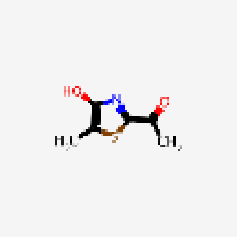 CC(=O)c1nc(O)c(C)s1